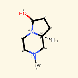 CC(C)N1CCN2C(O)CC[C@H]2C1